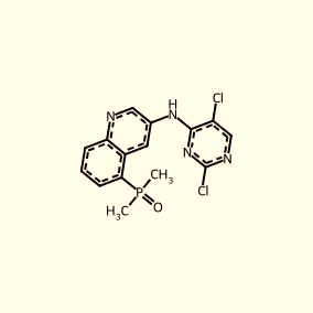 CP(C)(=O)c1cccc2ncc(Nc3nc(Cl)ncc3Cl)cc12